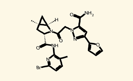 Cc1ccc(Br)nc1NC(=O)[C@@H]1C[C@@]2(C)C[C@H]2N1C(=O)Cn1nc(-c2ccco2)cc1C(N)=O